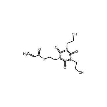 C=CC(=O)OCCn1c(=O)n(CCO)c(=O)n(CCO)c1=O